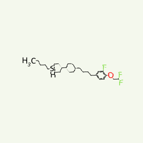 CCCCC[Si@H]1CC[C@H]([C@H]2CC[C@H](CCCCc3ccc(OCC(F)F)c(F)c3)CC2)CC1